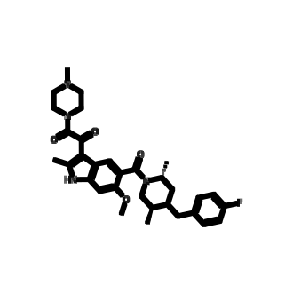 COc1cc2[nH]c(C)c(C(=O)C(=O)N3CCN(C)CC3)c2cc1C(=O)N1C[C@H](C)C(Cc2ccc(F)cc2)C[C@H]1C